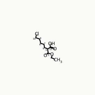 CCOC(=O)C(CCCCCCl)C(=O)O